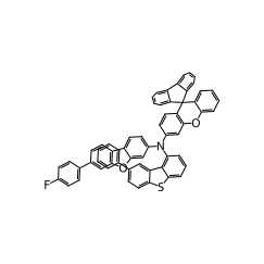 Fc1ccc(-c2ccc3c(c2)oc2cc(N(c4ccc5c(c4)Oc4ccccc4C54c5ccccc5-c5ccccc54)c4cccc5sc6ccc(-c7ccccc7)cc6c45)ccc23)cc1